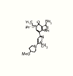 COC1CCN(c2cc(-c3cn([C@@H](C)C(C)C)c(=O)c4c(N)n[nH]c34)nn2C)CC1